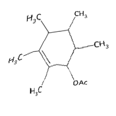 CC(=O)OC1C(C)=C(C)C(C)C(C)C1C